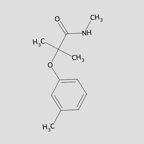 CNC(=O)C(C)(C)Oc1cccc(C)c1